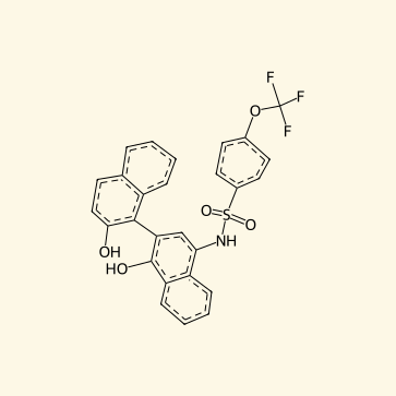 O=S(=O)(Nc1cc(-c2c(O)ccc3ccccc23)c(O)c2ccccc12)c1ccc(OC(F)(F)F)cc1